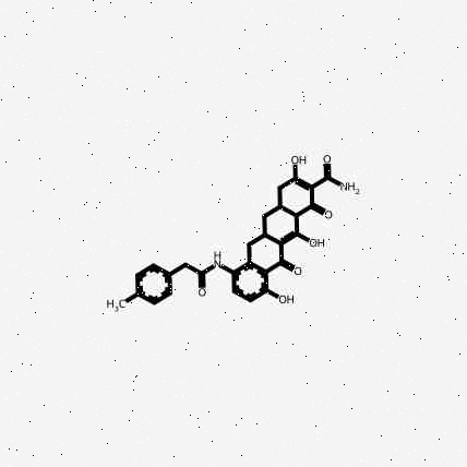 Cc1ccc(CC(=O)Nc2ccc(O)c3c2CC2CC4CC(O)=C(C(N)=O)C(=O)C4C(O)=C2C3=O)cc1